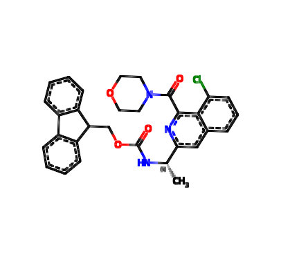 C[C@H](NC(=O)OCC1c2ccccc2-c2ccccc21)c1cc2cccc(Cl)c2c(C(=O)N2CCOCC2)n1